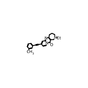 CCN1CCCc2nc3cc(C#Cc4cccc(C)c4)ccn3c(=O)c2C1